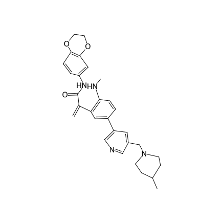 C=C(C(=O)Nc1ccc2c(c1)OCCO2)c1cc(-c2cncc(CN3CCC(C)CC3)c2)ccc1NC